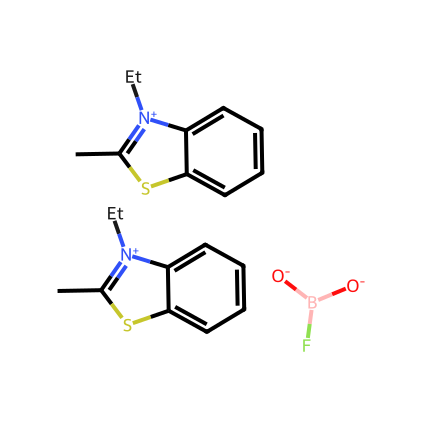 CC[n+]1c(C)sc2ccccc21.CC[n+]1c(C)sc2ccccc21.[O-]B([O-])F